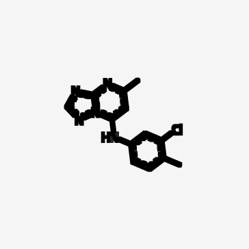 Cc1cc(Nc2ccc(C)c(Cl)c2)n2ncnc2n1